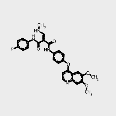 CN/C=C(\C(=O)Nc1ccc(F)cc1)C(=O)Nc1ccc(Oc2ccnc3cc(OC)c(OC)cc23)cc1